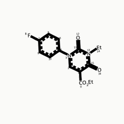 CCOC(=O)c1cn(-c2ccc(F)cc2)c(=O)n(CC)c1=O